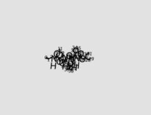 C=CCNC(=O)C(=O)C(CCC)NC(=O)[C@@H]1[C@H]2[C@@H](CN1C(=O)[C@@H](NC(=O)OC(CC)CC)C1CCCC1)C2(C)C